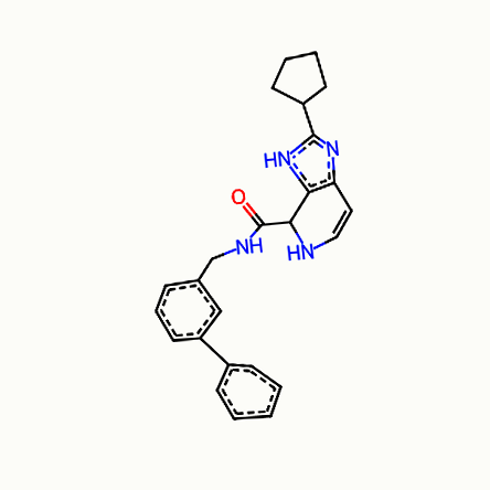 O=C(NCc1cccc(-c2ccccc2)c1)C1NC=Cc2nc(C3CCCC3)[nH]c21